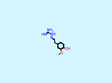 COc1cc(CC=NNC(=N)N)ccc1O